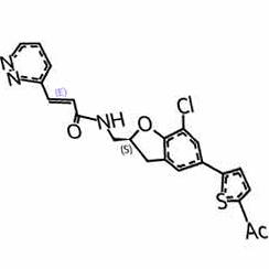 CC(=O)c1ccc(-c2cc(Cl)c3c(c2)C[C@@H](CNC(=O)/C=C/c2cccnn2)O3)s1